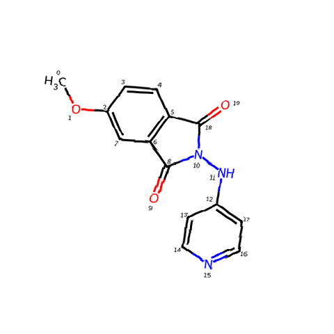 COc1ccc2c(c1)C(=O)N(Nc1ccncc1)C2=O